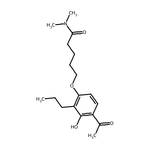 CCCc1c(OCCCCC(=O)N(C)C)ccc(C(C)=O)c1O